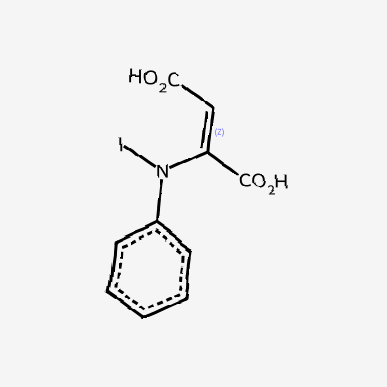 O=C(O)/C=C(/C(=O)O)N(I)c1ccccc1